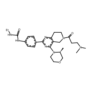 CCNC(=O)Nc1ccc(-c2nc3c(c(N4CCOC[C@@H]4C)n2)CN(C(=O)CCN(C)C)CC3)cc1